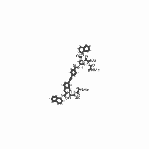 CNC(C)C(=O)NC(C(=O)N1Cc2cc(C#Cc3ccc(C(=O)N[C@H]4C[C@@H](C(=O)N[C@@H]5CCCc6ccccc65)N(C(=O)C(NC(=O)C(C)NC)C(C)(C)C)C4)cc3)ccc2CC1C(=O)N[C@@H]1CCCc2ccccc21)C(C)(C)C